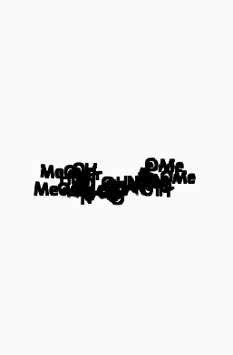 COC[C@H]1C[C@@H](c2ncc(-c3cc4c5c(c3)OCc3cc(-c6cnc([C@@H]7C[C@H](COC)CN7C(=O)[C@@H](NC(O)OC)C(C)C)[nH]6)cc(c3-5)OC4)[nH]2)N(C(=O)[C@@H](NC(=O)OC)C(C)C)C1